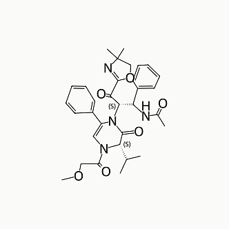 COCC(=O)N1C=C(c2ccccc2)N([C@H](C(=O)C2=NC(C)(C)CO2)C(NC(C)=O)c2ccccc2)C(=O)[C@@H]1C(C)C